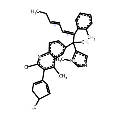 CC/C=C/C=C(\c1ccccc1C)C(C)(c1ccc2nc(Cl)c(C3=CCC(C)C=C3)c(C)c2c1)c1cncn1C